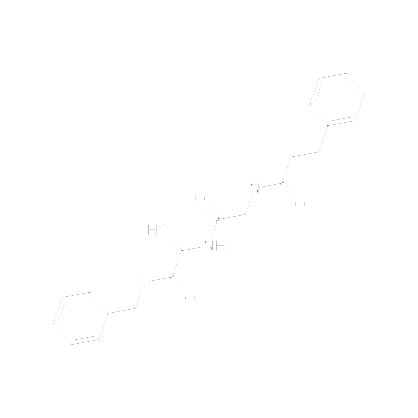 O=C(CCc1ccccc1)NCC(=O)NC(S)C(=O)OCc1ccccc1